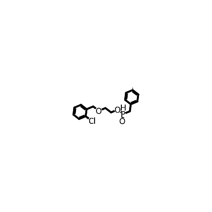 O=[PH](Cc1cc[c]cc1)OCCOCc1ccccc1Cl